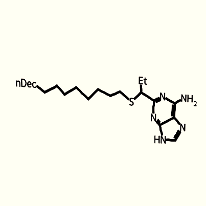 CCCCCCCCCCCCCCCCCCSC(CC)c1nc(N)c2nc[nH]c2n1